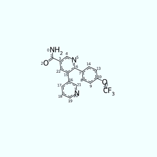 NC(=O)c1cnc(-c2ccc(OC(F)(F)F)cc2)c(-c2cccnc2)c1